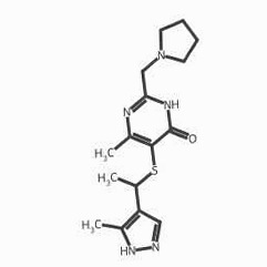 Cc1nc(CN2CCCC2)[nH]c(=O)c1SC(C)c1cn[nH]c1C